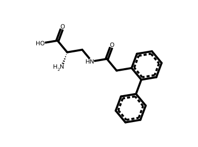 N[C@@H](CNC(=O)Cc1ccccc1-c1ccccc1)C(=O)O